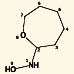 ONC1CCCCCO1